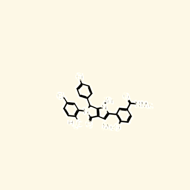 CNC(=O)c1ccc(OC)c(-c2cc3c(n2C(C)C)C(c2ccc(Cl)cc2)N(c2cc(Cl)ccc2C)C3=O)c1